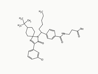 CCCCCC(c1ccc(C(=O)NCCC(=O)O)cc1)N1C(=O)C(c2cccc(Cl)c2)=NC12CCC(C(C)(C)C)CC2